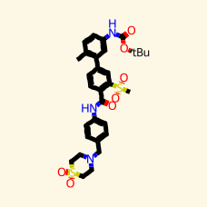 Cc1ccc(NC(=O)OC(C)(C)C)cc1-c1ccc(C(=O)Nc2ccc(CN3CCS(=O)(=O)CC3)cc2)c(S(C)(=O)=O)c1